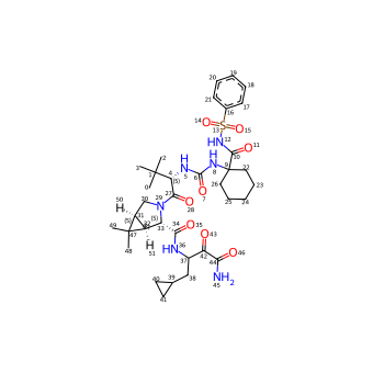 CC(C)(C)[C@H](NC(=O)NC1(C(=O)NS(=O)(=O)c2ccccc2)CCCCC1)C(=O)N1C[C@H]2[C@@H]([C@H]1C(=O)NC(CC1CC1)C(=O)C(N)=O)C2(C)C